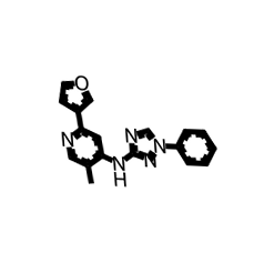 Cc1cnc(-c2ccoc2)cc1Nc1ncn(-c2ccccc2)n1